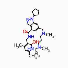 CC1=CC(C)=C(CNC(=O)c2cc(CN(C)CCCN(C)C)cc3c2cnn3C2CCCC2)C(O)N1